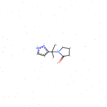 CC(C)(c1cc[nH]n1)N1CCCC1=O